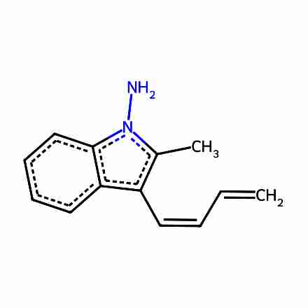 C=C/C=C\c1c(C)n(N)c2ccccc12